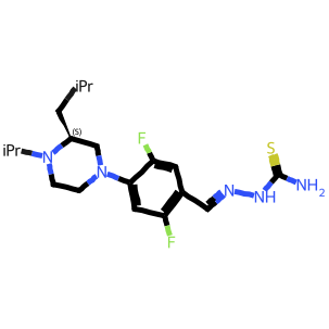 CC(C)C[C@H]1CN(c2cc(F)c(C=NNC(N)=S)cc2F)CCN1C(C)C